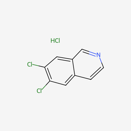 Cl.Clc1cc2ccncc2cc1Cl